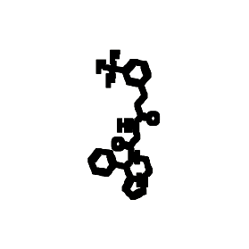 O=C(CCc1cccc(C(F)(F)F)c1)NCC(=O)N1CCn2cccc2C1c1ccccc1